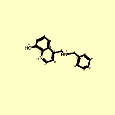 Oc1cccc2c(CNCc3ccccc3)ccnc12